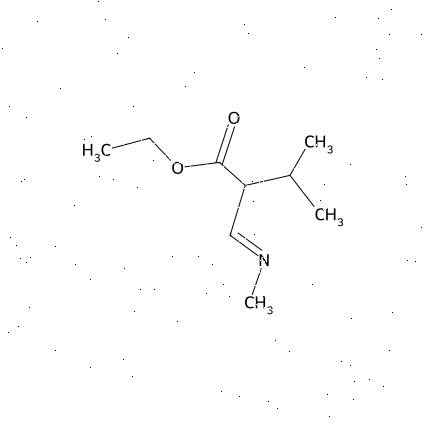 CCOC(=O)C(C=NC)C(C)C